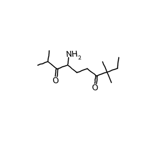 CCC(C)(C)C(=O)CCC(N)C(=O)C(C)C